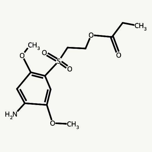 CCC(=O)OCCS(=O)(=O)c1cc(OC)c(N)cc1OC